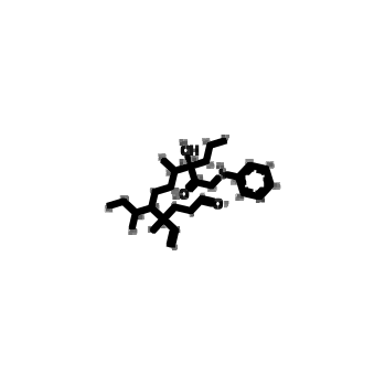 C=CC(C)(CCC=O)C(CCC(C)[C@](O)(CCC)C(=O)CSc1ccccc1)C(C)CC